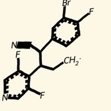 [CH2]CC(c1c(F)cncc1F)C(C#N)c1ccc(F)c(Br)c1